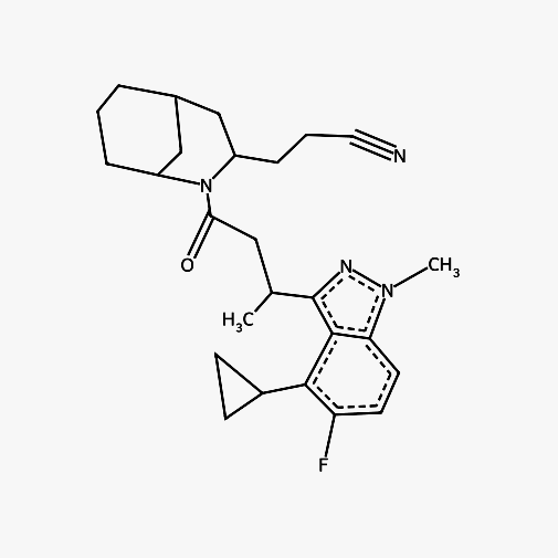 CC(CC(=O)N1C(CCC#N)CC2CCCC1C2)c1nn(C)c2ccc(F)c(C3CC3)c12